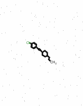 CCCC1CCC(C#Cc2ccc(Cl)cc2)CC1